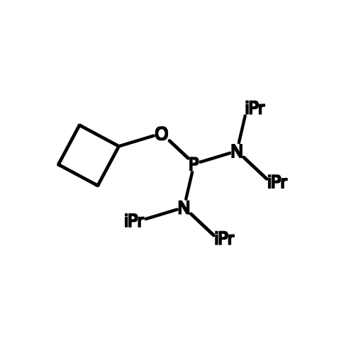 CC(C)N(C(C)C)P(OC1CCC1)N(C(C)C)C(C)C